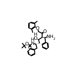 Cc1cccc(C)c1OCC(=O)[C@@H](C(N)c1ccccc1)[C@H](O)C[C@H](Cc1ccccc1)NC(=O)OC(C)(C)C